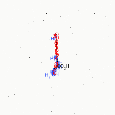 N=N/C(=C\NCCOCCOCCOCCOCCOCCOCCOCCNC(=O)CCN1C(=O)C=CC1=O)CCCCNC(=O)CC[C@H](NC(=O)c1ccc(NCc2cnc3nc(N)[nH]c(=O)c3n2)cc1)C(=O)O